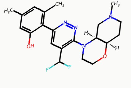 Cc1cc(C)c(-c2cc(C(F)F)c(N3CCO[C@@H]4CCN(C)C[C@@H]43)nn2)c(O)c1